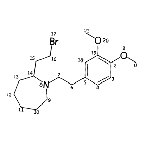 COc1ccc(CCN2CCCCCC2CCBr)cc1OC